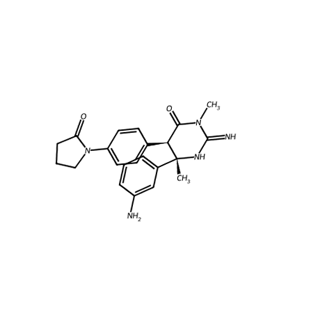 CN1C(=N)N[C@](C)(c2cccc(N)c2)[C@@H](c2ccc(N3CCCC3=O)cc2)C1=O